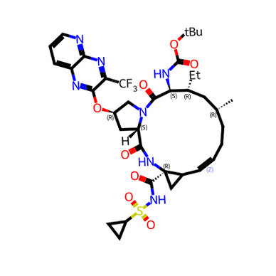 CC[C@@H]1C[C@H](C)CC/C=C\C2C[C@@]2(C(=O)NS(=O)(=O)C2CC2)NC(=O)[C@@H]2C[C@@H](Oc3nc4cccnc4nc3C(F)(F)F)CN2C(=O)[C@H]1NC(=O)OC(C)(C)C